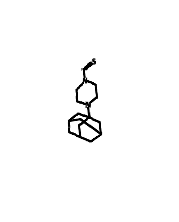 S=[C]N1CCN(C23CC4CC(CC(C4)C2)C3)CC1